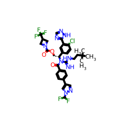 CC(C)(C)CCNC(=N)N(C(=O)c1ccc(-c2cnn(C(F)F)c2)cc1)[C@H](COC(=O)N1CC(C(F)(F)F)C1)c1ccc(Cl)c(-c2ncn[nH]2)c1